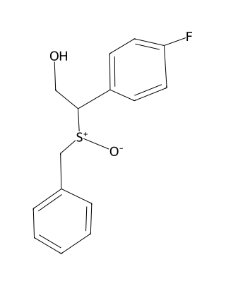 [O-][S+](Cc1ccccc1)C(CO)c1ccc(F)cc1